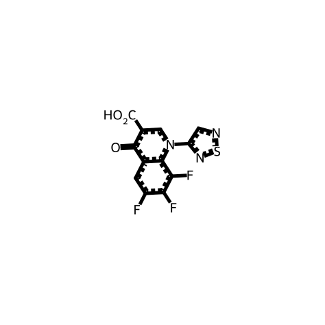 O=C(O)c1cn(-c2cnsn2)c2c(F)c(F)c(F)cc2c1=O